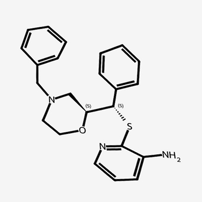 Nc1cccnc1S[C@@H](c1ccccc1)[C@@H]1CN(Cc2ccccc2)CCO1